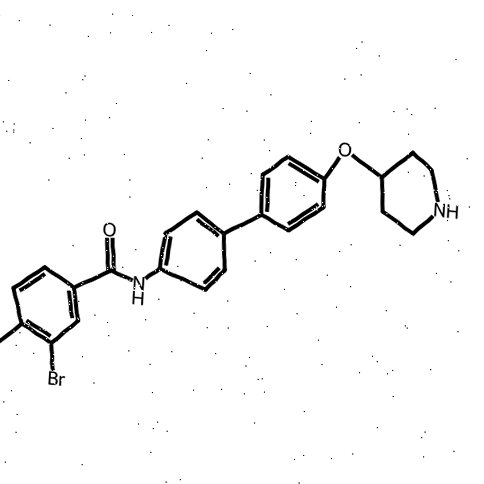 Cc1ccc(C(=O)Nc2ccc(-c3ccc(OC4CCNCC4)cc3)cc2)cc1Br